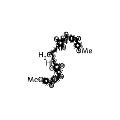 COc1ccc(C(=O)N2CCN(C(=O)c3nc4c(s3)C(=O)C=C(NCCCN(C)CCCNC3=CC(=O)c5sc(C(=O)N6CCN(C(=O)c7ccc(OC)cc7)CC6)nc5C3=O)C4=O)CC2)cc1